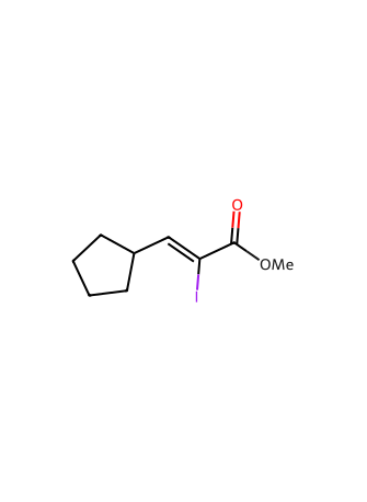 COC(=O)C(I)=CC1CCCC1